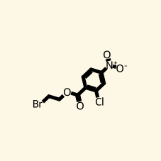 O=C(OCCBr)c1ccc([N+](=O)[O-])cc1Cl